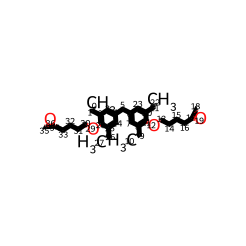 CCc1cc(Cc2cc(CC)c(OCCCCC3CO3)c(CC)c2)cc(CC)c1OCCCCC1CO1